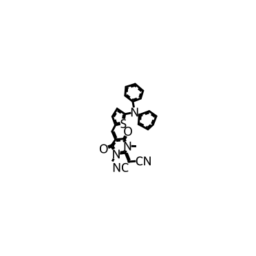 Cn1c(=O)c(=Cc2ccc(N(c3ccccc3)c3ccccc3)s2)c(=O)n(C)c1=C(C#N)C#N